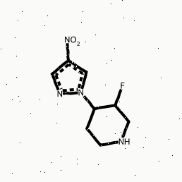 O=[N+]([O-])c1cnn(C2CCNCC2F)c1